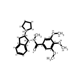 COc1cc(C(=O)N(C)[C@@H]2c3ccccc3C[C@H]2N2CCCC2)cc(OC)c1OC